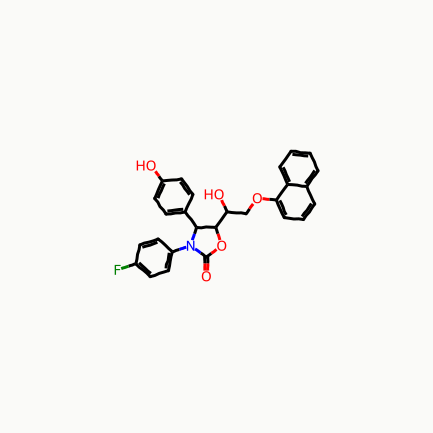 O=C1OC(C(O)COc2cccc3ccccc23)C(c2ccc(O)cc2)N1c1ccc(F)cc1